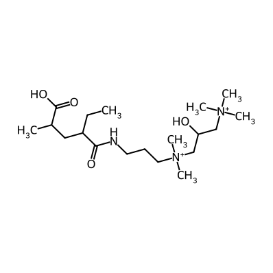 CCC(CC(C)C(=O)O)C(=O)NCCC[N+](C)(C)CC(O)C[N+](C)(C)C